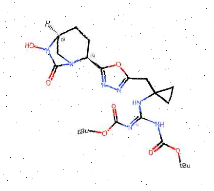 CC(C)(C)OC(=O)/N=C(/NC(=O)OC(C)(C)C)NC1(Cc2nnc([C@@H]3CC[C@H]4CN3C(=O)N4O)o2)CC1